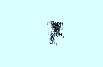 CC1CCN(C(=O)CCC(C)[C@H]2CC[C@H]3[C@@H]4C[C@@H](O)[C@H]5C[C@@H](O)CC[C@]5(C)[C@H]4CC[C@]23C)CC1